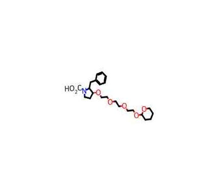 O=C(O)N1CC[C@H](OCCOCCOCCOC2CCCCO2)C1Cc1ccccc1